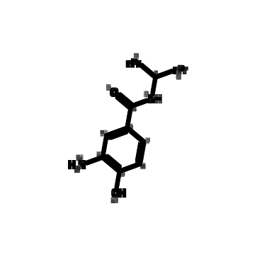 CCCC(CCC)NC(=O)c1ccc(O)c(N)c1